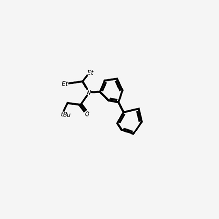 CCC(CC)N(C(=O)CC(C)(C)C)c1cccc(-c2ccccc2)c1